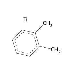 [CH2]c1ccccc1C.[Ti]